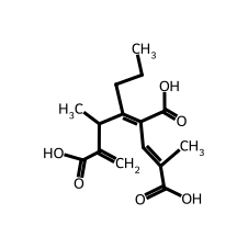 C=C(C(=O)O)C(C)C(CCC)=C(C=C(C)C(=O)O)C(=O)O